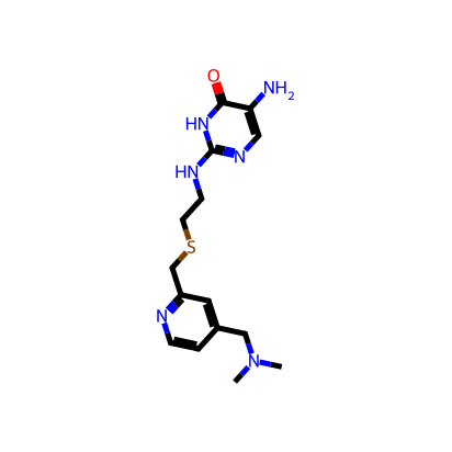 CN(C)Cc1ccnc(CSCCNc2ncc(N)c(=O)[nH]2)c1